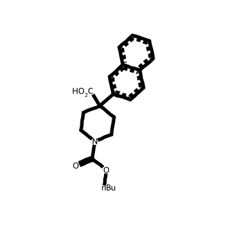 CCCCOC(=O)N1CCC(C(=O)O)(c2ccc3ccccc3c2)CC1